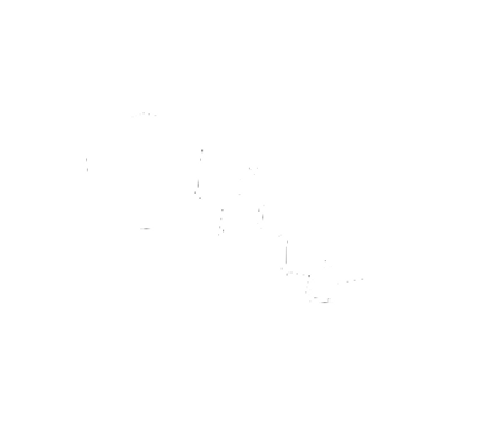 COc1cc(/N=N/c2nc(C(=O)O)cs2)ccc1N1CCOCCOCCOCCOCC1